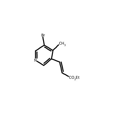 CCOC(=O)/C=C/c1cncc(Br)c1C